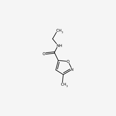 CCNC(=O)c1cc(C)no1